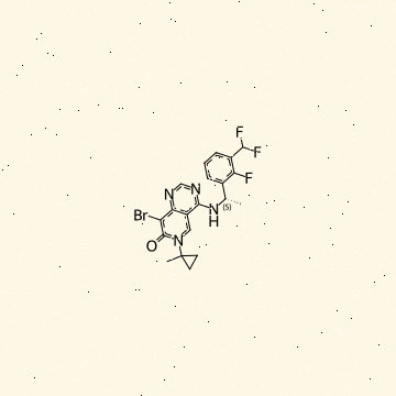 C[C@H](Nc1ncnc2c(Br)c(=O)n(C3(C)CC3)cc12)c1cccc(C(F)F)c1F